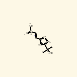 CC(C)(O)c1noc(/C=C/S(=O)O)n1